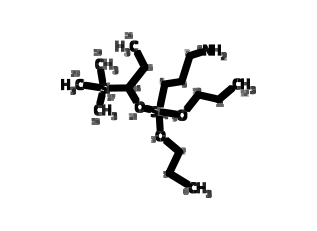 CCCO[Si](CCCN)(OCCC)OC(CC)[Si](C)(C)C